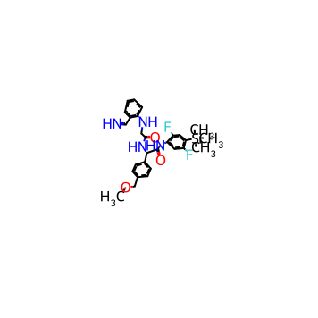 COCc1ccc(C(NC(=O)CNc2ccccc2C=N)C(=O)Nc2cc(F)c([Si](C)(C)C)cc2F)cc1